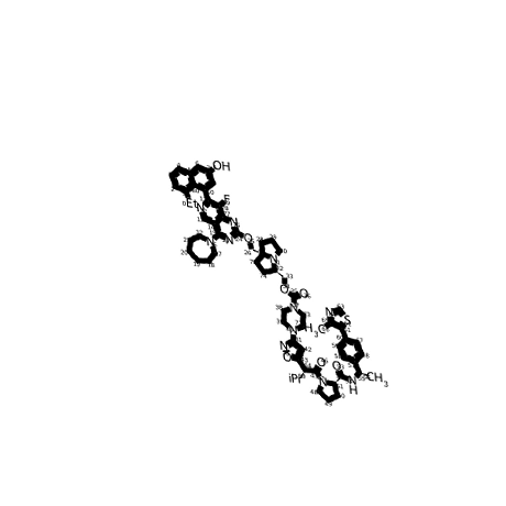 CCc1cccc2cc(O)cc(-c3ncc4c(N5CCCCCC5)nc(OC[C@]56CCCN5[C@H](COC(=O)N5CCN(c7cc([C@H](C(=O)N8CCC[C@H]8C(=O)N[C@@H](C)c8ccc(-c9scnc9C)cc8)C(C)C)on7)CC5)CC6)nc4c3F)c12